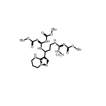 CC(C)(C)OC(=O)/N=C(/NCCC(N/C(=N\C(=O)OC(C)(C)C)NC(=O)OC(C)(C)C)c1cnn2c1NCCC2)NC(=O)O